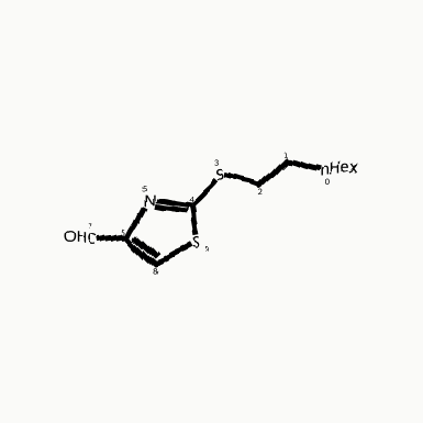 CCCCCCCCSc1nc(C=O)cs1